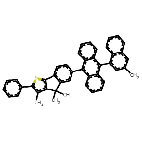 Cc1cc(-c2c3ccccc3c(-c3ccc4c(c3)C(C)(C)c3c-4sc(-c4ccccc4)c3C)c3ccccc23)c2ccccc2c1